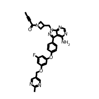 CC#CC(=O)N1CC(Cn2nc(-c3ccc(Oc4cc(F)cc(OCc5cnc(C)nc5)c4)cc3)c3c(N)ncnc32)C1